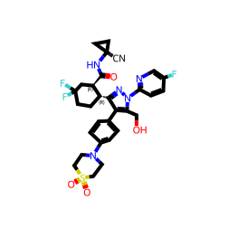 N#CC1(NC(=O)[C@@H]2CC(F)(F)CC[C@H]2c2nn(-c3ccc(F)cn3)c(CO)c2-c2ccc(N3CCS(=O)(=O)CC3)cc2)CC1